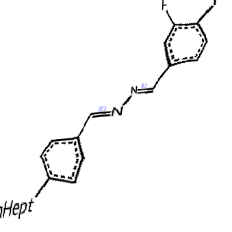 CCCCCCCc1ccc(/C=N/N=C/c2ccc(F)c(F)c2)cc1